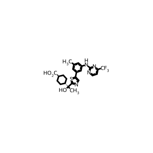 Cc1cc(Nc2nccc(C(F)(F)F)n2)cc(-c2cnc(C(C)(O)[C@H]3CC[C@H](C(=O)O)CC3)s2)c1